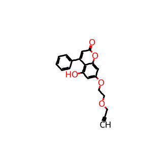 C#CCOCCOc1cc(O)c2c(-c3ccccc3)cc(=O)oc2c1